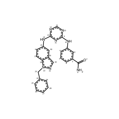 NC(=O)c1cccc(Nc2ncnc(Nc3ccc4c(cnn4Cc4ccccc4)c3)n2)c1